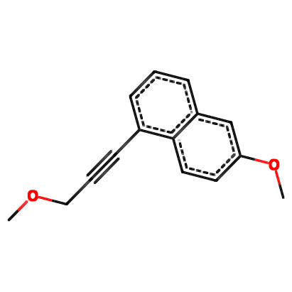 COCC#Cc1cccc2cc(OC)ccc12